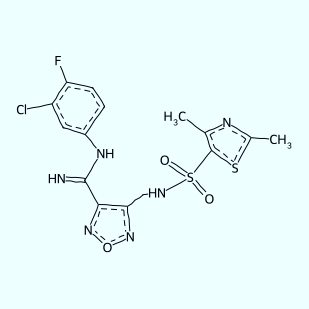 Cc1nc(C)c(S(=O)(=O)NCc2nonc2C(=N)Nc2ccc(F)c(Cl)c2)s1